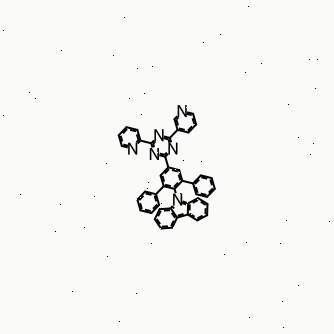 c1ccc(-c2cc(-c3nc(-c4cccnc4)nc(-c4ccccn4)n3)cc(-c3ccccc3)c2-n2c3ccccc3c3ccccc32)cc1